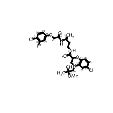 C=C(CCNC(=O)C1CN(CC(C)(C)OC)c2cc(Cl)ccc2O1)NC(=O)COc1ccc(Cl)c(F)c1